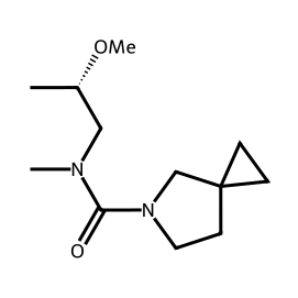 CO[C@@H](C)CN(C)C(=O)N1CCC2(CC2)C1